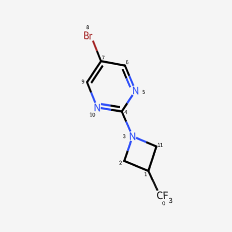 FC(F)(F)C1CN(c2ncc(Br)cn2)C1